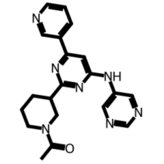 CC(=O)N1CCCC(c2nc(Nc3cncnc3)cc(-c3cccnc3)n2)C1